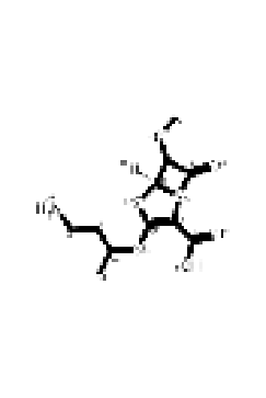 COC1C(=O)N2C(C(=O)O)=C(SC(C)CCN)S[C@@H]12